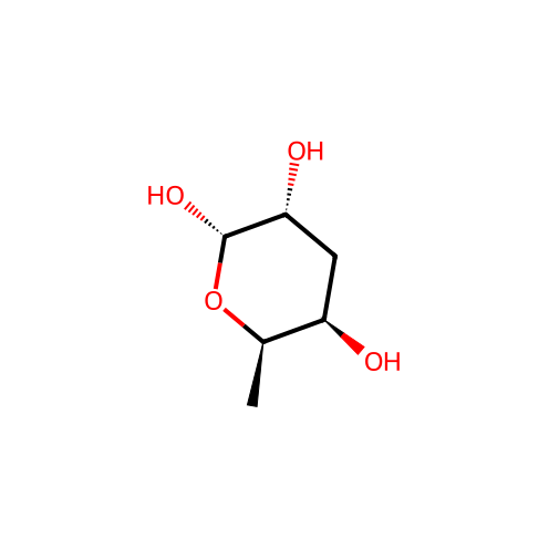 C[C@H]1O[C@H](O)[C@H](O)C[C@H]1O